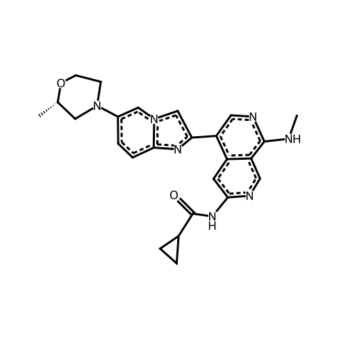 CNc1ncc(-c2cn3cc(N4CCO[C@@H](C)C4)ccc3n2)c2cc(NC(=O)C3CC3)ncc12